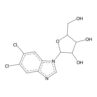 OCC1OC(n2cnc3cc(Cl)c(Cl)cc32)C(O)C1O